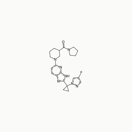 O=C(C1CCCN(c2ccc3nc(C4(n5cc(F)cn5)CC4)[nH]c3n2)C1)N1CCCC1